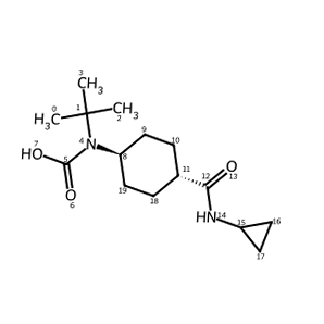 CC(C)(C)N(C(=O)O)[C@H]1CC[C@H](C(=O)NC2CC2)CC1